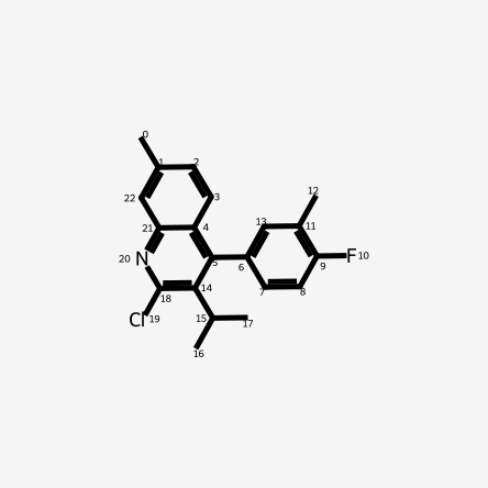 Cc1ccc2c(-c3ccc(F)c(C)c3)c(C(C)C)c(Cl)nc2c1